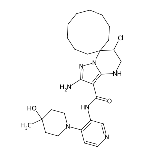 CC1(O)CCN(c2ccncc2NC(=O)c2c(N)nn3c2NCC(Cl)C32CCCCCCCCC2)CC1